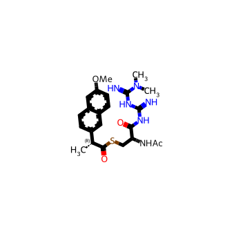 COc1ccc2cc([C@@H](C)C(=O)SCC(NC(C)=O)C(=O)NC(=N)NC(=N)N(C)C)ccc2c1